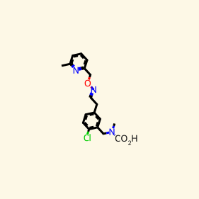 Cc1cccc(CON=CCc2ccc(Cl)c(CN(C)C(=O)O)c2)n1